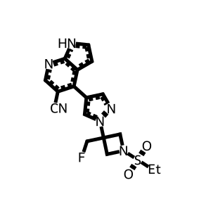 CCS(=O)(=O)N1CC(CF)(n2cc(-c3c(C#N)cnc4[nH]ccc34)cn2)C1